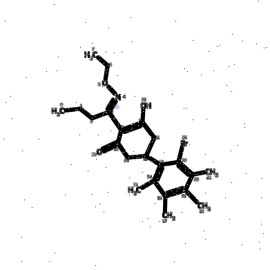 CCC/C(=N\OCC)C1=C(O)CC(c2c(C)c(C)c(C)c(C)c2Br)CC1=O